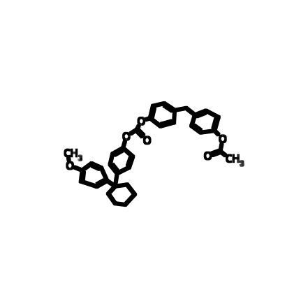 COc1ccc(C2(c3ccc(OC(=O)Oc4ccc(Cc5ccc(OC(C)=O)cc5)cc4)cc3)CCCCC2)cc1